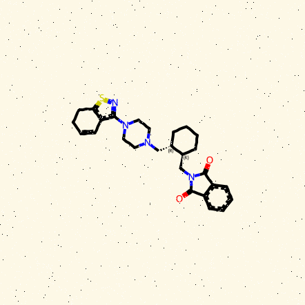 O=C1c2ccccc2C(=O)N1C[C@@H]1CCCC[C@H]1CN1CCN(c2nsc3c2C=CCC3)CC1